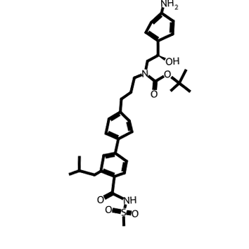 CC(C)Cc1cc(-c2ccc(CCCN(C[C@H](O)c3ccc(N)cc3)C(=O)OC(C)(C)C)cc2)ccc1C(=O)NS(C)(=O)=O